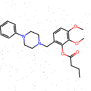 CCCC(=O)Oc1c(CN2CCN(c3ccccc3)CC2)ccc(OC)c1OC